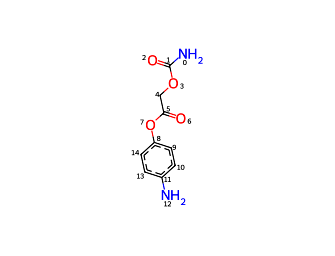 NC(=O)OCC(=O)Oc1ccc(N)cc1